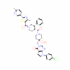 Cc1ccc(-c2nc(C)c(C(=O)N3CC[C@@H](C(=O)N4CCC(O)(Cn5cnc6c(ccn6-c6ccc(Cl)cc6)c5=O)CC4)[C@H](c4ccccc4)C3)s2)cn1